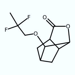 CC(F)(F)COC1C2CC3C(=O)OC1C3C2